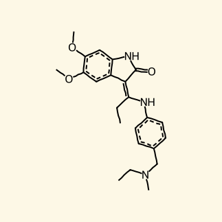 CC/C(Nc1ccc(CN(C)CC)cc1)=C1/C(=O)Nc2cc(OC)c(OC)cc21